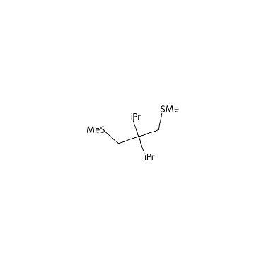 CSCC(CSC)(C(C)C)C(C)C